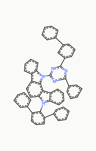 c1ccc(-c2cccc(-c3nc(-c4ccccc4)nc(-n4c5ccccc5c5ccc6c(c7ccccc7n6-c6c(-c7ccccc7)cccc6-c6ccccc6)c54)n3)c2)cc1